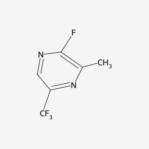 Cc1nc(C(F)(F)F)cnc1F